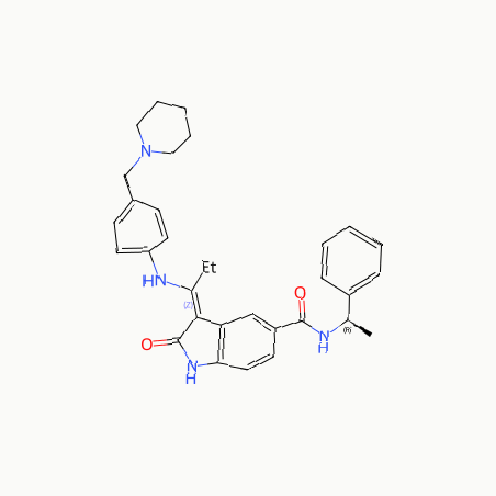 CC/C(Nc1ccc(CN2CCCCC2)cc1)=C1/C(=O)Nc2ccc(C(=O)N[C@H](C)c3ccccc3)cc21